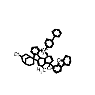 CCC1CC2CCC3(C4=CC(C)C5=C6C4c4c(cccc43)N(c3ccc(-c4ccccc4)cc3)C6(C)C=CC5(C)c3cccc4c3oc3ccccc34)C(C1)C2